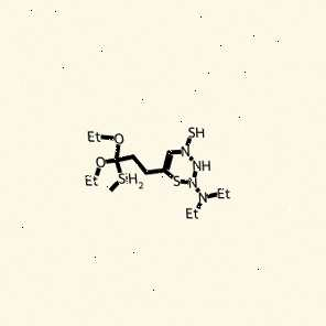 CCOC(CCc1cn(S)[nH]n(N(CC)CC)s1)(OCC)[SiH2]C